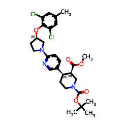 COC(=O)[C@H]1CN(C(=O)OC(C)(C)C)CC[C@H]1c1ccc(N2CC[C@@H](Oc3c(Cl)cc(C)cc3Cl)C2)nc1